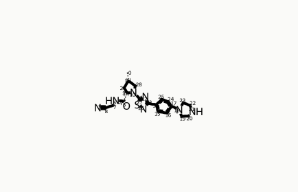 C[C@H]1C[C@@H](C(=O)NCC#N)N(c2nc(-c3ccc(N4CCNCC4)cc3)ns2)C1